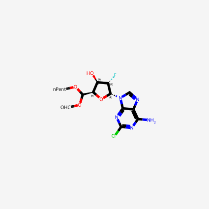 CCCCCOC(OC=O)[C@@H]1O[C@@H](n2cnc3c(N)nc(Cl)nc32)[C@@H](F)[C@@H]1O